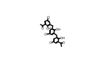 CC(=O)c1cc(Cl)cc(Cc2cc(Cl)cc(Cc3cc(Cl)cc(C(C)=O)c3O)c2O)c1O